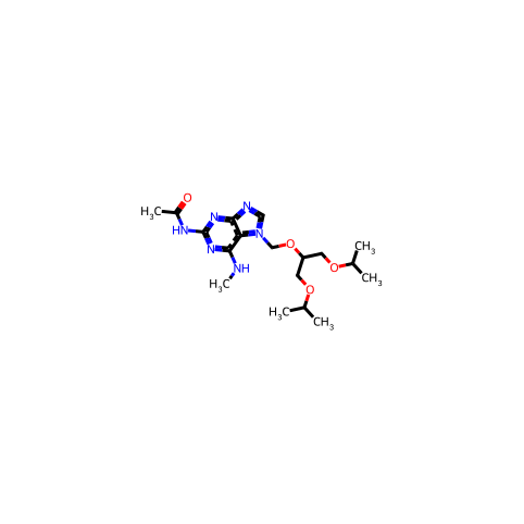 CNc1nc(NC(C)=O)nc2ncn(COC(COC(C)C)COC(C)C)c12